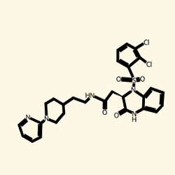 O=C(C[C@@H]1C(=O)Nc2ccccc2N1S(=O)(=O)c1cccc(Cl)c1Cl)NCCC1CCN(c2ccccn2)CC1